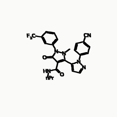 [CH2]CCNC(=O)c1c(-c2ccnn2-c2ccc(C#N)cc2)n(C)n(-c2cccc(C(F)(F)F)c2)c1=O